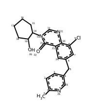 Cc1ccc(Cc2cc(Cl)c3ncn(C4CCCCC4O)c(=O)c3c2)cn1